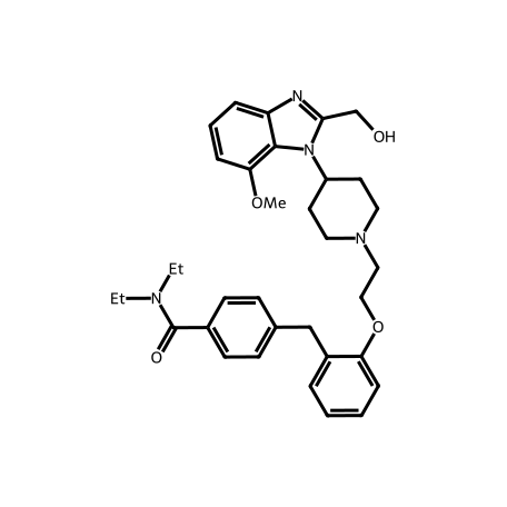 CCN(CC)C(=O)c1ccc(Cc2ccccc2OCCN2CCC(n3c(CO)nc4cccc(OC)c43)CC2)cc1